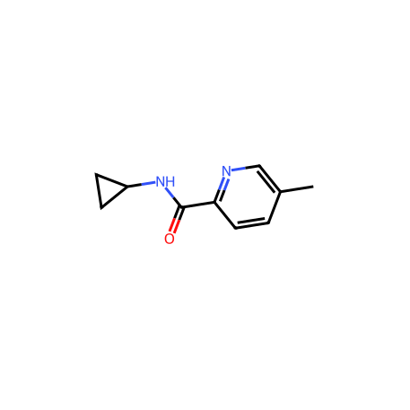 Cc1ccc(C(=O)NC2CC2)nc1